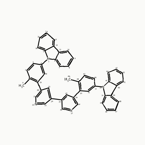 Cc1ccc(-n2c3ccccc3c3ccccc32)cc1-c1cncc(-c2cncc(-c3cc(-n4c5ccccc5c5ccccc54)ccc3C)c2)c1